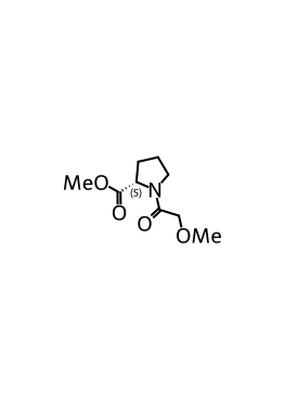 COCC(=O)N1CCC[C@H]1C(=O)OC